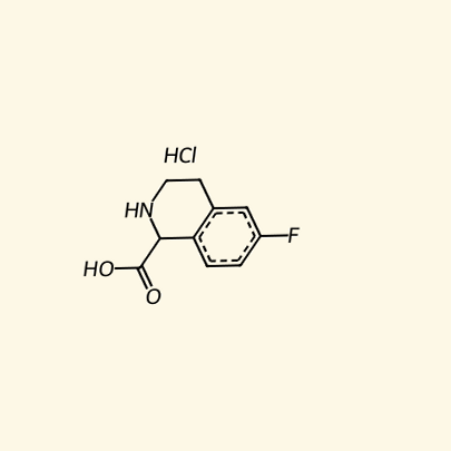 Cl.O=C(O)C1NCCc2cc(F)ccc21